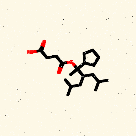 CC(C)CC(CC(C)C)C(C)(OC(=O)CCC(=O)O)C1CCCC1